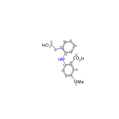 COc1ccc(Nc2ccccc2CC(=O)O)c(C(=O)O)c1